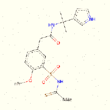 CCCOc1ccc(CC(=O)NC(C)(C)c2cc[nH]c2)cc1S(=O)(=O)NC(=S)NC